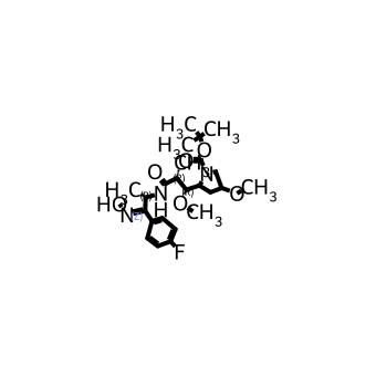 COC1CC([C@H](OC)[C@@H](C)C(=O)N[C@H](C)/C(=N\O)c2ccc(F)cc2)N(C(=O)OC(C)(C)C)C1